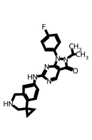 CC(C)n1c(=O)c2cnc(Nc3ccc4c(c3)CNCC43CC3)nc2n1-c1ccc(F)cc1